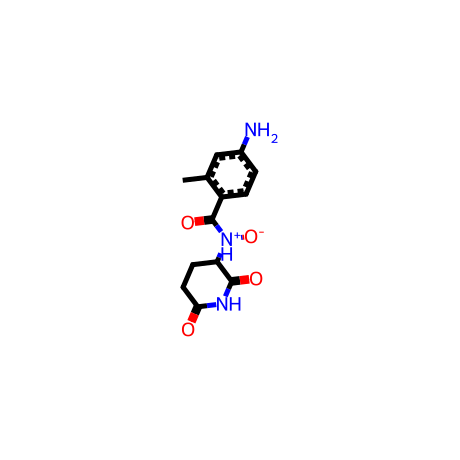 Cc1cc(N)ccc1C(=O)[NH+]([O-])C1CCC(=O)NC1=O